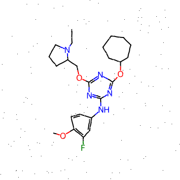 CCN1CCCC1COc1nc(Nc2ccc(OC)c(F)c2)nc(OC2CCCCCC2)n1